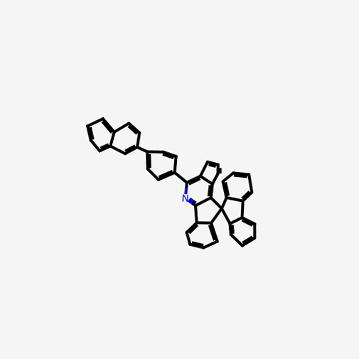 c1ccc2c(c1)-c1ccccc1C21c2ccccc2-c2nc(-c3ccc(-c4ccc5ccccc5c4)cc3)c3ccccc3c21